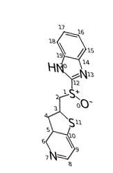 [O-][S+](CC1CC2CN=CC=C2S1)c1nc2ccccc2[nH]1